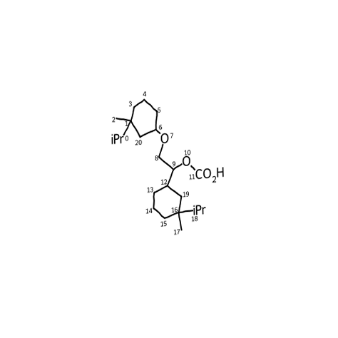 CC(C)C1(C)CCCC(OCC(OC(=O)O)C2CCCC(C)(C(C)C)C2)C1